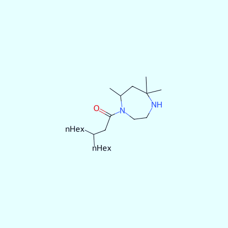 CCCCCCC(CCCCCC)CC(=O)N1CCNC(C)(C)CC1C